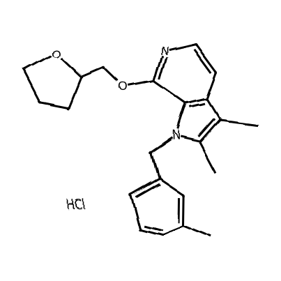 Cc1cccc(Cn2c(C)c(C)c3ccnc(OCC4CCCO4)c32)c1.Cl